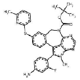 Cc1cccc(Oc2ccc3c(c2)CN(C(=O)OC(C)(C)C)c2ncnc4c2c-3c(-c2ccc(N)cc2F)n4C)n1